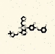 CC1(C)OCC(COc2ncnc(Nc3ccc(OCc4cccc(F)c4)c(Cl)c3)c2NC(=O)CC2CCSS2)O1